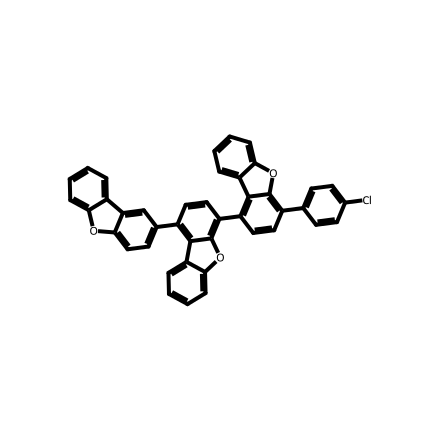 Clc1ccc(-c2ccc(-c3ccc(-c4ccc5oc6ccccc6c5c4)c4c3oc3ccccc34)c3c2oc2ccccc23)cc1